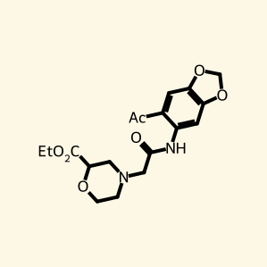 CCOC(=O)C1CN(CC(=O)Nc2cc3c(cc2C(C)=O)OCO3)CCO1